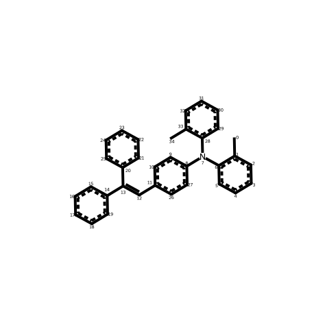 Cc1ccccc1N(c1ccc(C=C(c2ccccc2)c2ccccc2)cc1)c1ccccc1C